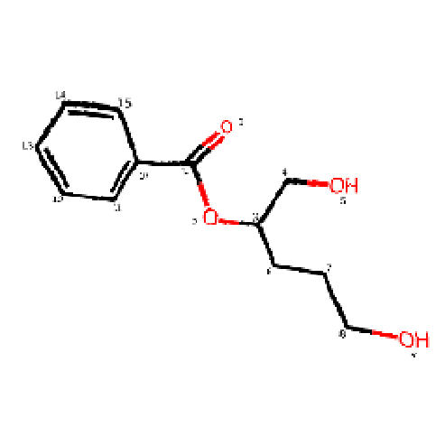 O=C(OC(CO)CCCO)c1ccccc1